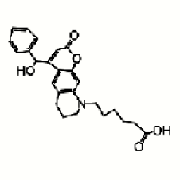 O=C(O)CCCCCN1CCCc2cc3c(C(O)c4ccccc4)cc(=O)oc3cc21